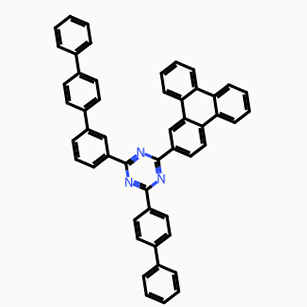 c1ccc(-c2ccc(-c3cccc(-c4nc(-c5ccc(-c6ccccc6)cc5)nc(-c5ccc6c7ccccc7c7ccccc7c6c5)n4)c3)cc2)cc1